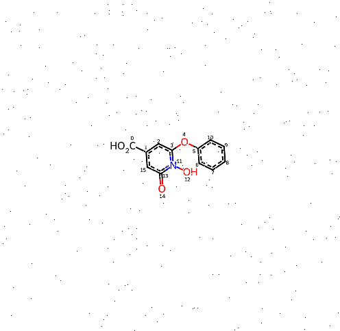 O=C(O)c1cc(Oc2ccccc2)n(O)c(=O)c1